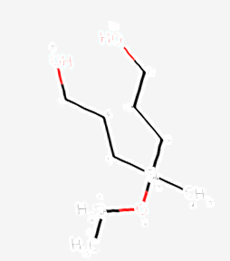 C[SiH2]O[Si](C)(CCCO)CCCO